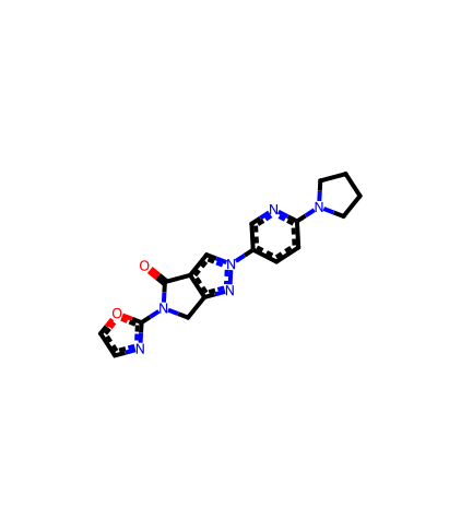 O=C1c2cn(-c3ccc(N4CCCC4)nc3)nc2CN1c1ncco1